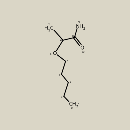 [CH2]CCCCOC(C)C(N)=O